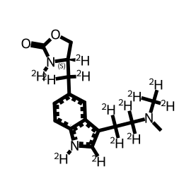 [2H]c1c(C([2H])([2H])C([2H])([2H])N(C)C([2H])([2H])[2H])c2cc(C([2H])([2H])[C@@]3([2H])COC(=O)N3[2H])ccc2n1[2H]